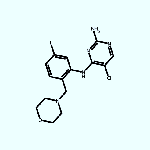 Nc1ncc(Cl)c(Nc2cc(I)ccc2CN2CCOCC2)n1